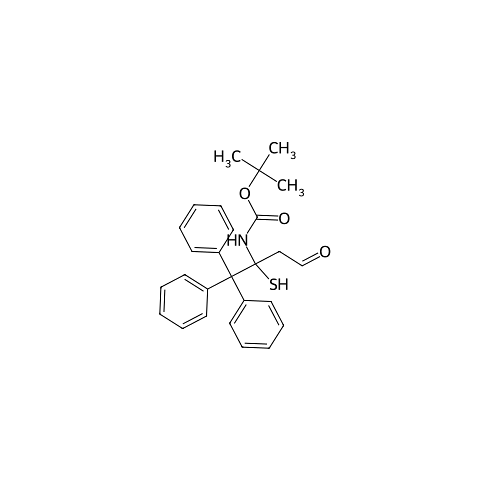 CC(C)(C)OC(=O)NC(S)(CC=O)C(c1ccccc1)(c1ccccc1)c1ccccc1